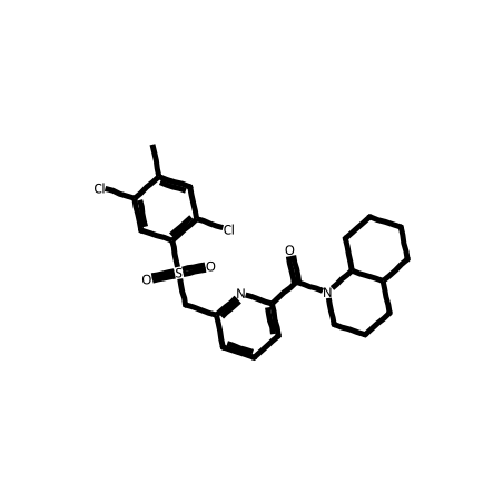 Cc1cc(Cl)c(S(=O)(=O)Cc2cccc(C(=O)N3CCCC4CCCCC43)n2)cc1Cl